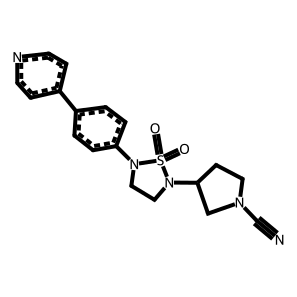 N#CN1CCC(N2CCN(c3ccc(-c4ccncc4)cc3)S2(=O)=O)C1